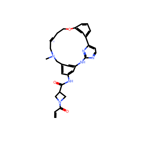 C=CC(=O)N1CC(C(=O)Nc2cc3cc(c2)Nc2nccc(n2)-c2cccc(c2)OCC/C=C/CN(C)C3)C1